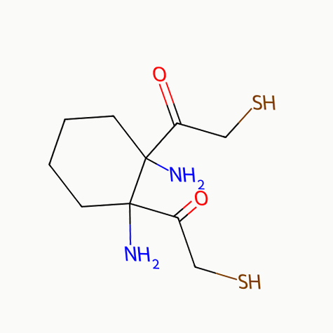 NC1(C(=O)CS)CCCCC1(N)C(=O)CS